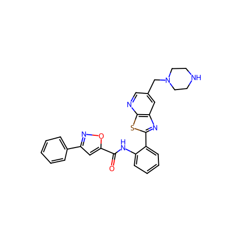 O=C(Nc1ccccc1-c1nc2cc(CN3CCNCC3)cnc2s1)c1cc(-c2ccccc2)no1